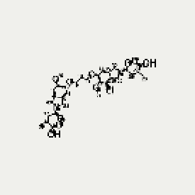 COc1cc2c(cc1OCCCOc1cc3c(c(Cl)c1OC)CN(C(=O)CC(C)C(=O)O)C3)CN(C(=O)CC(C)C(=O)O)C2